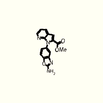 COC(=O)c1cc2cccnc2n1-c1ccc2oc(N)nc2c1